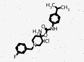 CC(C)c1ccc(NC(=O)OC2(N)CCN(Cc3cccc(F)c3)CC2)cc1.Cl